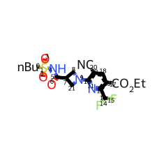 CCCCS(=O)(=O)NC(=O)C1CN(c2nc(C(F)F)c(C(=O)OCC)cc2C#N)C1